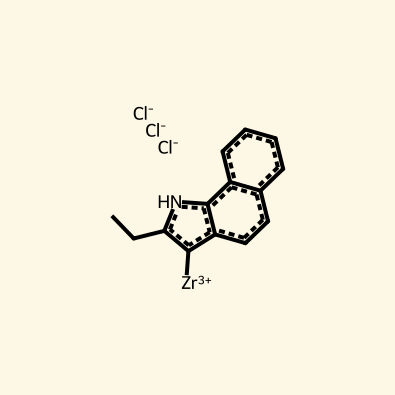 CCc1[nH]c2c(ccc3ccccc32)[c]1[Zr+3].[Cl-].[Cl-].[Cl-]